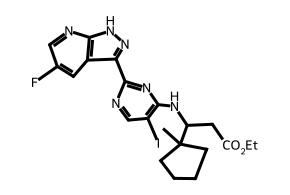 CCOC(=O)CC(Nc1nc(-c2n[nH]c3ncc(F)cc23)ncc1I)C1(C)CCCC1